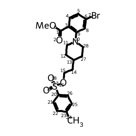 COC(=O)c1ccc(Br)cc1N1CCC(CCOS(=O)(=O)c2ccc(C)cc2)CC1